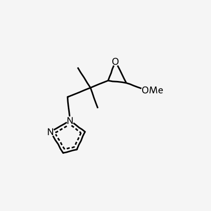 COC1OC1C(C)(C)Cn1cccn1